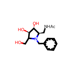 CC(=O)NC[C@@H]1[C@@H](O)[C@H](O)C(CO)N1Cc1ccccc1